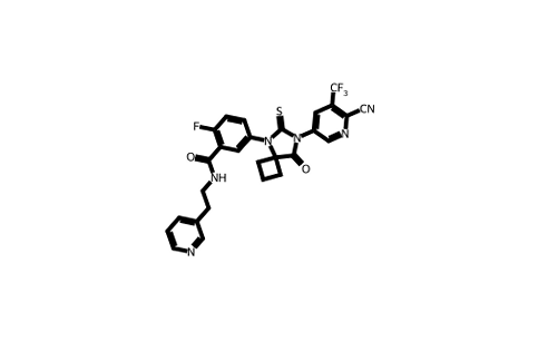 N#Cc1ncc(N2C(=O)C3(CCC3)N(c3ccc(F)c(C(=O)NCCc4cccnc4)c3)C2=S)cc1C(F)(F)F